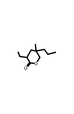 CCCC1(C)COC(=O)C(CC)C1